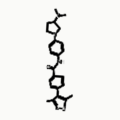 Cc1noc(C)c1-c1ccc(C(=O)Nc2ccc(N3CCC(N(C)C)C3)cc2)cc1